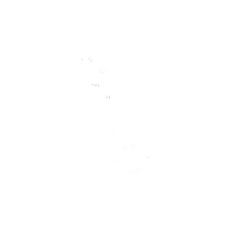 NC(=S)N/N=C/C=C/c1ccccc1Cl